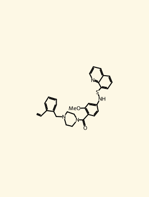 C=Cc1ccccc1CN1CCN(C(=O)c2ccc(NSc3cccc4cccnc34)cc2OC)CC1